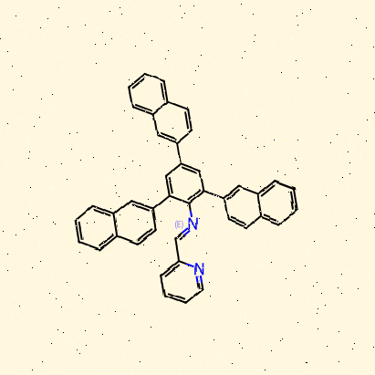 C(=N\c1c(-c2ccc3ccccc3c2)cc(-c2ccc3ccccc3c2)cc1-c1ccc2ccccc2c1)/c1ccccn1